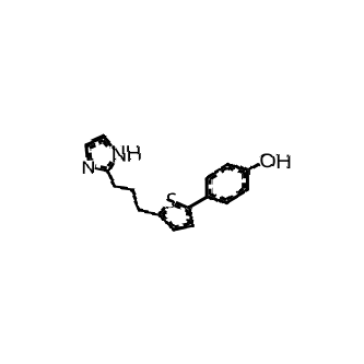 Oc1ccc(-c2ccc(CCCc3ncc[nH]3)s2)cc1